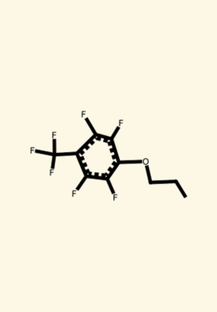 CCCOc1c(F)c(F)c(C(F)(F)F)c(F)c1F